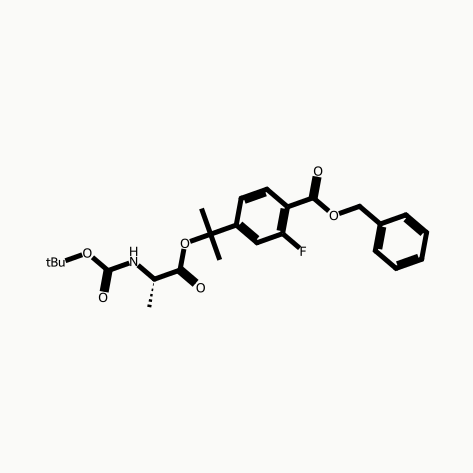 C[C@H](NC(=O)OC(C)(C)C)C(=O)OC(C)(C)c1ccc(C(=O)OCc2ccccc2)c(F)c1